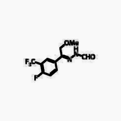 COC/C(=N\NC=O)c1ccc(F)c(C(F)(F)F)c1